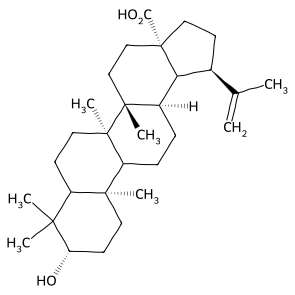 C=C(C)[C@@H]1CC[C@]2(C(=O)O)CC[C@]3(C)[C@H](CCC4[C@@]5(C)CC[C@H](O)C(C)(C)C5CC[C@]43C)C12